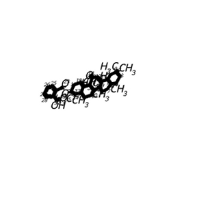 CC1(C)CC[C@]2(C)CCC3(C)C(=CC(=O)C4[C@@]5(C)CC[C@H](OC(=O)c6ccccc6C(=O)O)C(C)(C)C5CC[C@]43C)[C@@H]2C1